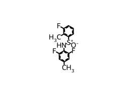 Cc1cc(F)c(N[S+]([O-])c2cccc(F)c2C)c(F)c1